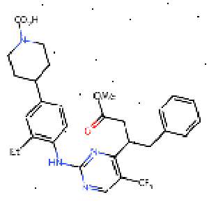 CCc1cc(C2CCN(C(=O)O)CC2)ccc1Nc1ncc(C(F)(F)F)c(C(CC(=O)OC)Cc2ccccc2)n1